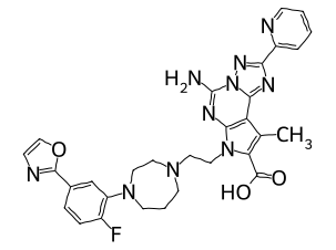 Cc1c(C(=O)O)n(CCN2CCCN(c3cc(-c4ncco4)ccc3F)CC2)c2nc(N)n3nc(-c4ccccn4)nc3c12